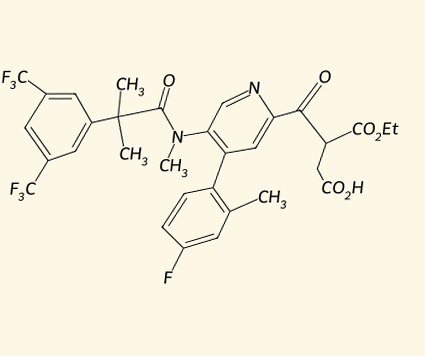 CCOC(=O)C(CC(=O)O)C(=O)c1cc(-c2ccc(F)cc2C)c(N(C)C(=O)C(C)(C)c2cc(C(F)(F)F)cc(C(F)(F)F)c2)cn1